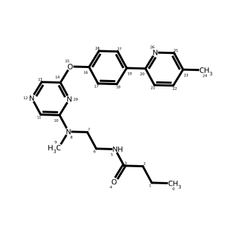 CCCC(=O)NCCN(C)c1cncc(Oc2ccc(-c3ccc(C)cn3)cc2)n1